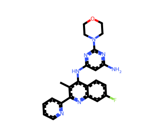 Cc1c(-c2ccccn2)nc2cc(F)ccc2c1Nc1cc(N)nc(N2CCOCC2)n1